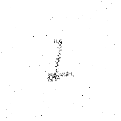 CCCCCCCCCCCCCCCCCCCc1n(-c2ccccc2)cc[n+]1CCCCC